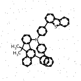 CC1(C)c2cccc(N(c3ccc(-c4ccccc4)cc3)c3ccc(-c4cccc5c4sc4ccccc45)cc3)c2-c2cc(-c3ccccc3)c3ccccc3c21